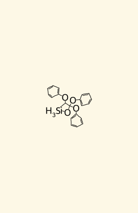 CC(Oc1ccccc1)C(O[SiH3])(Oc1ccccc1)Oc1ccccc1